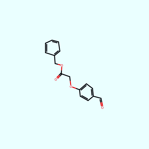 O=Cc1ccc(OCC(=O)OCc2ccccc2)cc1